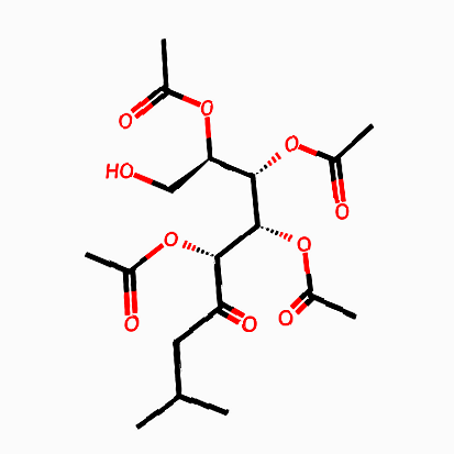 CC(=O)O[C@H]([C@H](OC(C)=O)[C@@H](OC(C)=O)C(=O)CC(C)C)[C@@H](CO)OC(C)=O